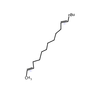 [CH2]CCC/C=C/CCCCCCCC/C=C/C